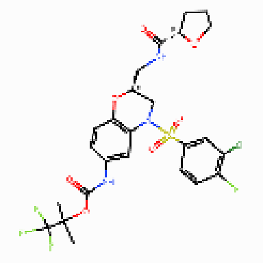 CC(C)(OC(=O)Nc1ccc2c(c1)N(S(=O)(=O)c1ccc(F)c(Cl)c1)C[C@H](CNC(=O)[C@@H]1CCCO1)O2)C(F)(F)F